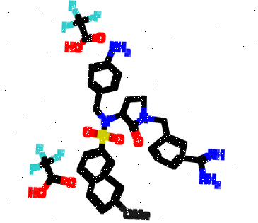 COc1ccc2ccc(S(=O)(=O)N(Cc3ccc(N)cc3)[C@H]3CCN(Cc4cccc(C(=N)N)c4)C3=O)cc2c1.O=C(O)C(F)(F)F.O=C(O)C(F)(F)F